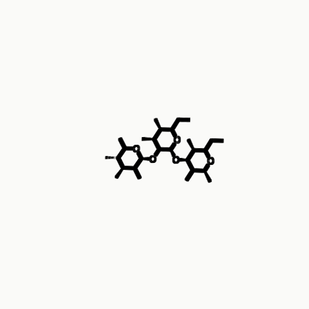 CCC1O[C@@H](O[C@@H]2C(C)[C@H](C)OC(CC)[C@@H]2C)C(O[C@@H]2OC(C)[C@@H](C)[C@H](C)C2C)[C@@H](C)[C@H]1C